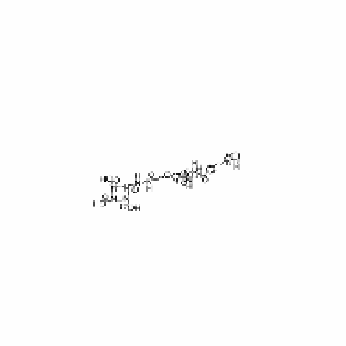 Cc1cc(OCCCC(=O)NCCNC(=O)CN2CCN(CC(=O)O)CCN(CC(=O)O)CCN(CC(=O)O)CC2)cc(C)c1S(=O)(=O)N[C@@H](CNC(=O)c1ccc(CCc2ccc3c(n2)NCCC3)cc1)C(=O)O